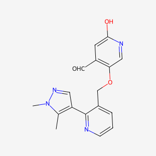 Cc1c(-c2ncccc2COc2cnc(O)cc2C=O)cnn1C